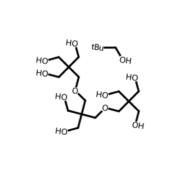 CC(C)(C)CO.OCC(CO)(CO)COCC(CO)(CO)COCC(CO)(CO)CO